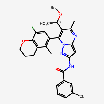 Cc1nc2cc(NC(=O)c3cccc(C#N)c3)nn2c(-c2cc(F)c3c(c2C)CCCO3)c1[C@H](OC(C)(C)C)C(=O)O